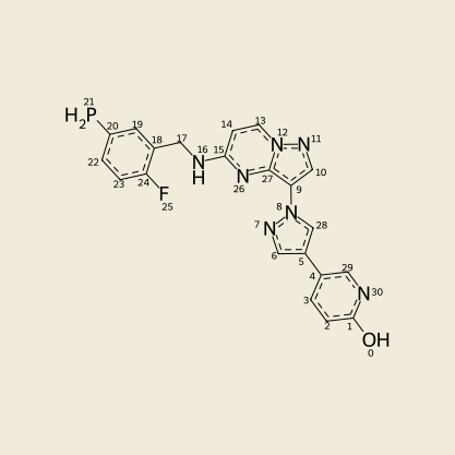 Oc1ccc(-c2cnn(-c3cnn4ccc(NCc5cc(P)ccc5F)nc34)c2)cn1